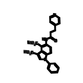 CCOC(=O)c1c(NC(=O)CCc2ccncc2)ccc2c1c(C(=O)O)cn2-c1ccccc1